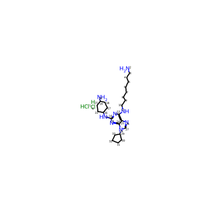 Cl.Cl.NCCCCCCCCNc1nc(NC2CCC(N)CC2)nc2c1ncn2C1CCCC1